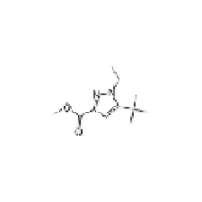 CCn1nc(C(=O)OC)cc1C(C)(C)C